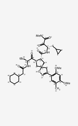 CNC(=O)C(=O)[C@H](CC1CC1)NC(=O)[C@@H]1C[C@]2(CC(c3cc(C)c(OC)cc3OC)=NO2)CN1C(=O)[C@@H](NC(=O)CC1CCCCC1)C(C)(C)C